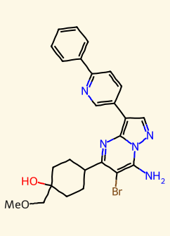 COCC1(O)CCC(c2nc3c(-c4ccc(-c5ccccc5)nc4)cnn3c(N)c2Br)CC1